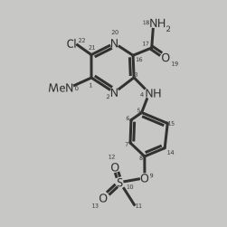 CNc1nc(Nc2ccc(OS(C)(=O)=O)cc2)c(C(N)=O)nc1Cl